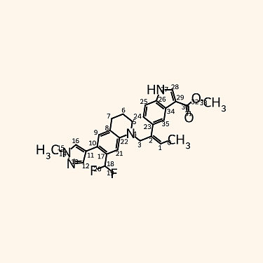 CC=C(CN1CCCc2cc(-c3cnn(C)c3)c(C(F)F)cc21)c1ccc2[nH]cc(C(=O)OC)c2c1